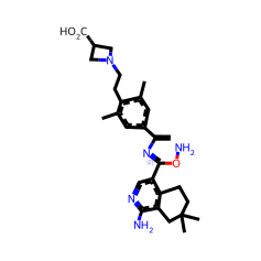 C=C(/N=C(\ON)c1cnc(N)c2c1CCC(C)(C)C2)c1cc(C)c(CCN2CC(C(=O)O)C2)c(C)c1